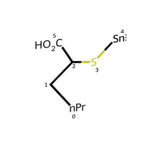 CCCCC([S][Sn])C(=O)O